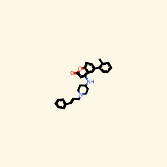 Cc1ccccc1-c1ccc2oc(=O)cc(NC3CCN(CC=Cc4ccccc4)CC3)c2c1